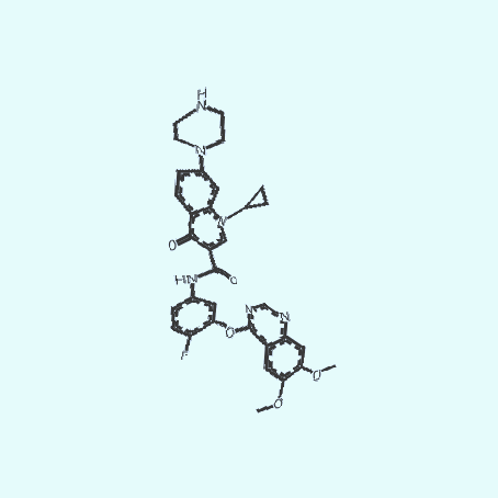 COc1cc2ncnc(Oc3cc(NC(=O)c4cn(C5CC5)c5cc(N6CCNCC6)ccc5c4=O)ccc3F)c2cc1OC